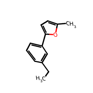 CCc1cccc(-c2ccc(C)o2)c1